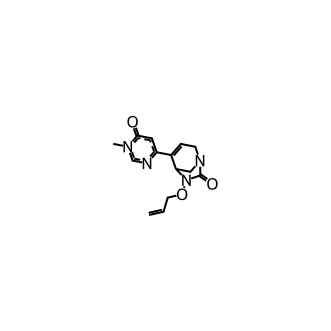 C=CCON1C(=O)N2CC=C(c3cc(=O)n(C)cn3)C1C2